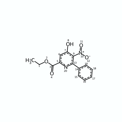 CCOC(=O)c1cc(O)c([N+](=O)[O-])c(-c2ccccc2)n1